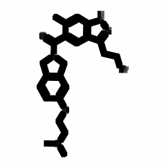 Cc1cc2[nH]nc(CCC(C)C)c2cc1C(=O)N1Cc2ccc(OCCN(C)C)cc2C1